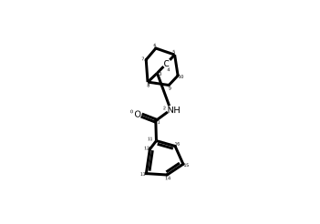 O=C(NC1CC2CCC1CC2)c1[c]cccc1